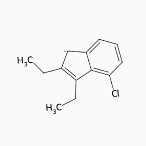 CCC1=C(CC)c2c(Cl)cccc2[CH]1